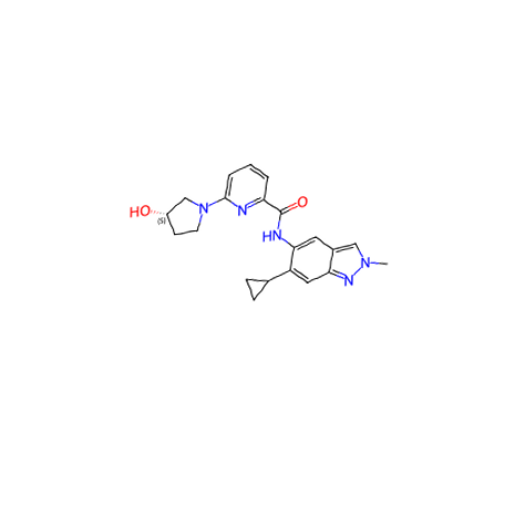 Cn1cc2cc(NC(=O)c3cccc(N4CC[C@H](O)C4)n3)c(C3CC3)cc2n1